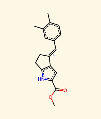 COC(=O)c1cc2c([nH]1)CC/C2=C\c1ccc(C)c(C)c1